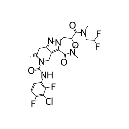 C[C@@H]1Cc2nn3c(c2CN1C(=O)Nc1ccc(F)c(Cl)c1F)C(=O)N(C)OC(C(=O)N(C)CC(F)F)C3